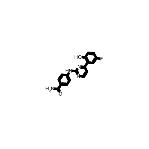 NC(=O)c1ccc(Nc2nccc(-c3cc(F)ccc3O)n2)cc1